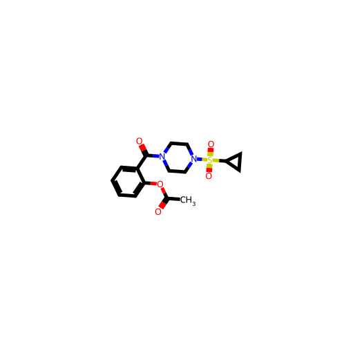 CC(=O)Oc1ccccc1C(=O)N1CCN(S(=O)(=O)C2CC2)CC1